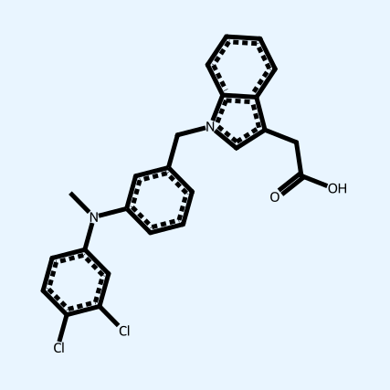 CN(c1cccc(Cn2cc(CC(=O)O)c3ccccc32)c1)c1ccc(Cl)c(Cl)c1